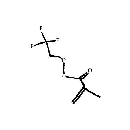 C=C(C)C(=O)OOCC(F)(F)F